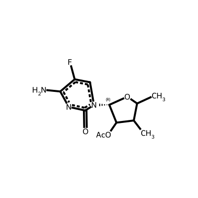 CC(=O)OC1C(C)C(C)O[C@H]1n1cc(F)c(N)nc1=O